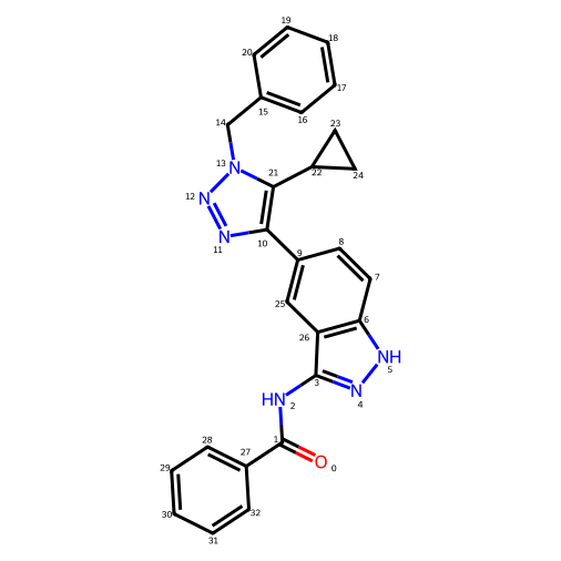 O=C(Nc1n[nH]c2ccc(-c3nnn(Cc4ccccc4)c3C3CC3)cc12)c1ccccc1